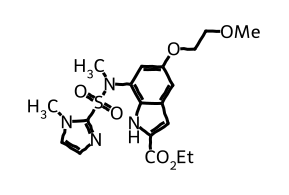 CCOC(=O)c1cc2cc(OCCOC)cc(N(C)S(=O)(=O)c3nccn3C)c2[nH]1